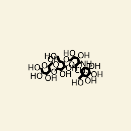 CC1O[C@@H](OC2C(CO)O[C@@H](OC3C(CO)O[C@@H](O)C(O)C3O)C(O)C2O)C(O)C(O)C1NC1C=C(CO)[C@@H](O)[C@H](O)[C@H]1O